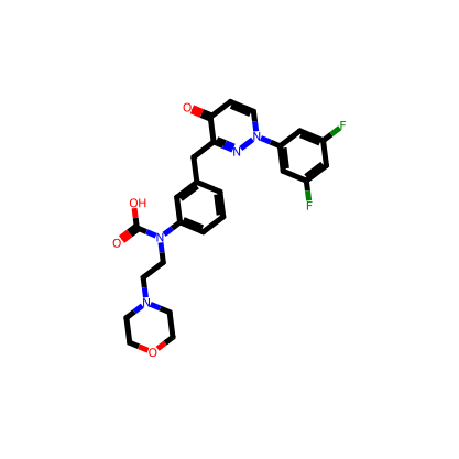 O=C(O)N(CCN1CCOCC1)c1cccc(Cc2nn(-c3cc(F)cc(F)c3)ccc2=O)c1